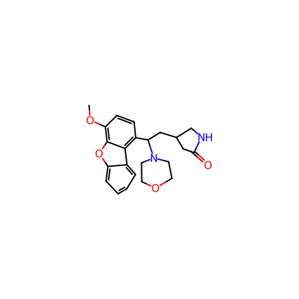 COc1ccc(C(CC2CNC(=O)C2)N2CCOCC2)c2c1oc1ccccc12